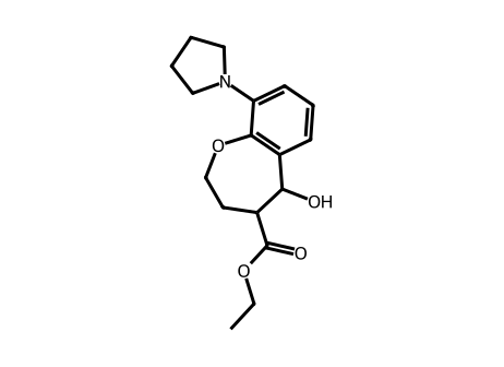 CCOC(=O)C1CCOc2c(cccc2N2CCCC2)C1O